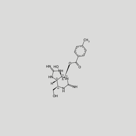 Cc1ccc(C(=O)O[C@H]2CN3C(=N)N[C@@H](CO)[C@@H]4NC(=N)N[C@@]43[C@H]2O)cc1